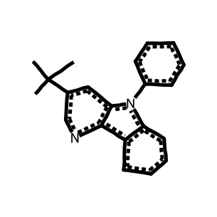 CC(C)(C)c1cnc2c3ccccc3n(-c3ccccc3)c2c1